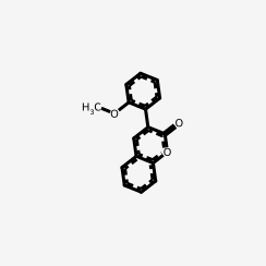 COc1ccccc1-c1cc2ccccc2oc1=O